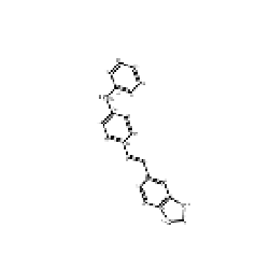 C(=C\c1ccc2c(c1)OCO2)/c1ccc(Nc2ccccc2)cc1